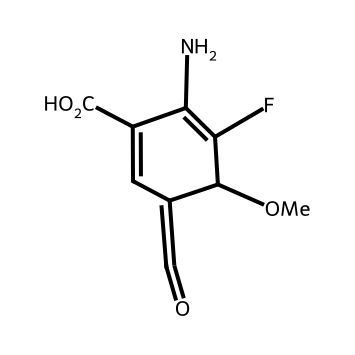 COC1C(=C=O)C=C(C(=O)O)C(N)=C1F